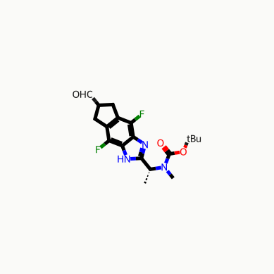 C[C@H](c1nc2c(F)c3c(c(F)c2[nH]1)CC(C=O)C3)N(C)C(=O)OC(C)(C)C